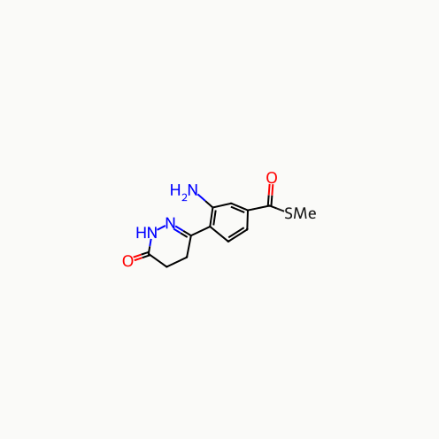 CSC(=O)c1ccc(C2=NNC(=O)CC2)c(N)c1